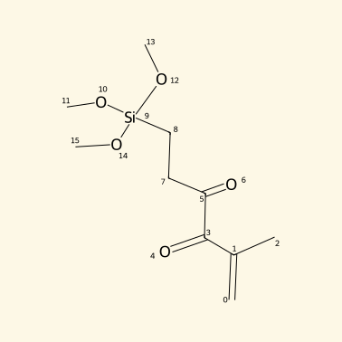 C=C(C)C(=O)C(=O)CC[Si](OC)(OC)OC